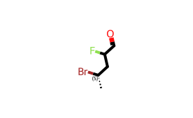 C[C@H](Br)CC(F)C=O